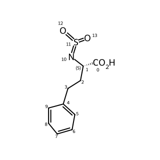 O=C(O)[C@H](CCc1ccccc1)N=S(=O)=O